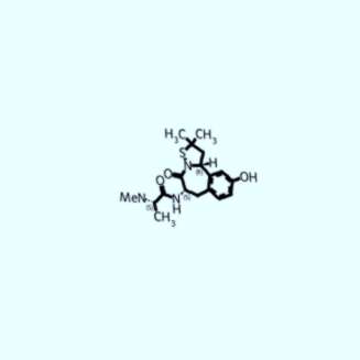 CN[C@@H](C)C(=O)N[C@H]1Cc2ccc(O)cc2[C@H]2CC(C)(C)SN2C1=O